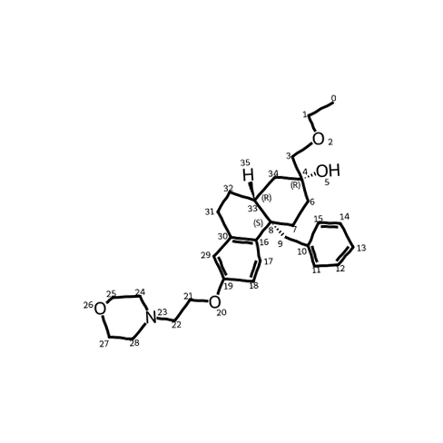 CCOC[C@@]1(O)CC[C@@]2(Cc3ccccc3)c3ccc(OCCN4CCOCC4)cc3CC[C@@H]2C1